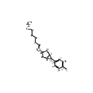 [CH2+][CH-]CCCCCOC1CC2C(C1)C2c1ccc(C)cc1